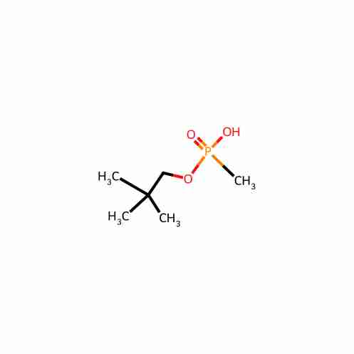 CC(C)(C)COP(C)(=O)O